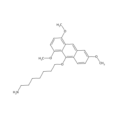 COc1ccc2c(OCCCCCCCN)c3c(OC)ccc(OC)c3cc2c1